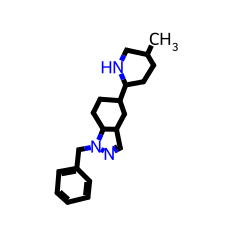 CC1CCC(C2CCC3C(C=NN3Cc3ccccc3)C2)NC1